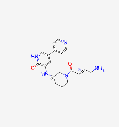 NC/C=C/C(=O)N1CCC[C@H](Nc2cc(-c3ccncc3)c[nH]c2=O)C1